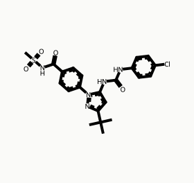 CC(C)(C)c1cc(NC(=O)Nc2ccc(Cl)cc2)n(-c2ccc(C(=O)NS(C)(=O)=O)cc2)n1